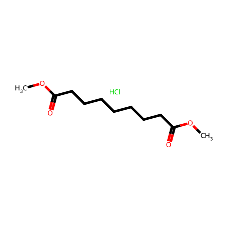 COC(=O)CCCCCCCC(=O)OC.Cl